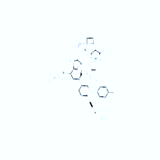 CC(C)(O)C#Cc1ccc(-c2cc(C(=O)NC3COC3)c3nccn3c2)c([C@H](Cc2cc(F)cc(F)c2)NC(=O)Cn2nc(C(F)(F)F)c3c2C(F)(F)[C@@H]2C=C[C@H]32)n1